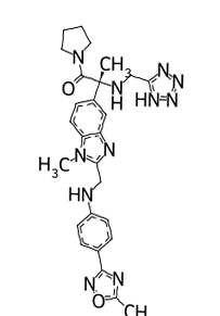 Cc1nc(-c2ccc(NCc3nc4cc([C@@](C)(NCc5nnn[nH]5)C(=O)N5CCCC5)ccc4n3C)cc2)no1